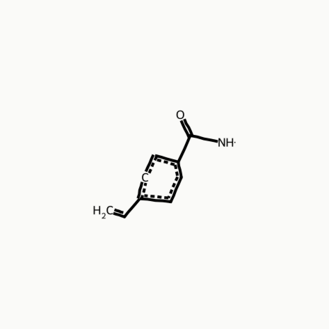 C=Cc1ccc(C([NH])=O)cc1